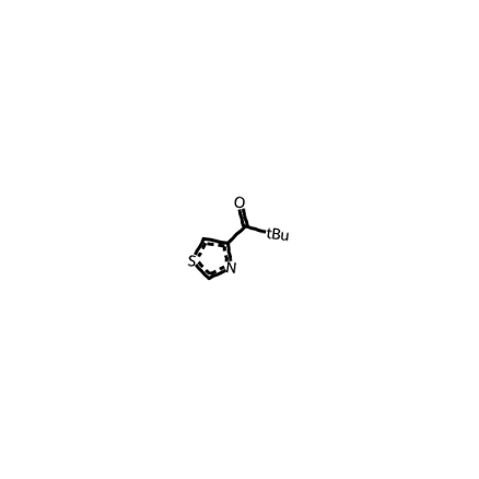 CC(C)(C)C(=O)c1cscn1